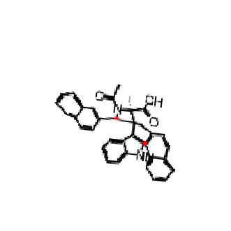 CC(=O)N(Cc1ccc2ccccc2c1)[C@@](C)(C(=O)O)C(C)(Cc1ccc2ccccc2c1)c1c[nH]c2ccccc12